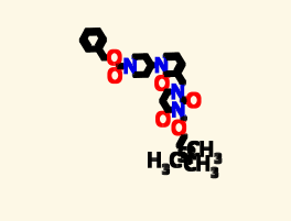 C[Si](C)(C)CCOCN1C(=O)CCN(Cc2cccn(C3CCN(C(=O)OCc4ccccc4)CC3)c2=O)C1=O